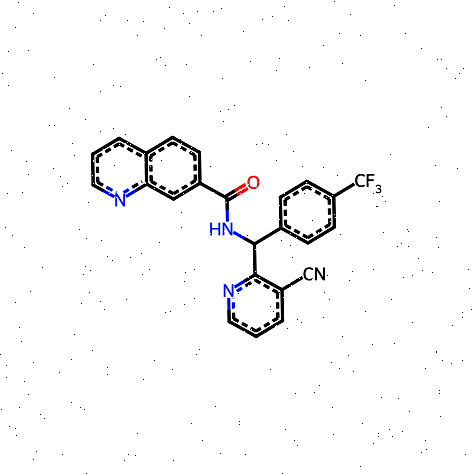 N#Cc1cccnc1C(NC(=O)c1ccc2cccnc2c1)c1ccc(C(F)(F)F)cc1